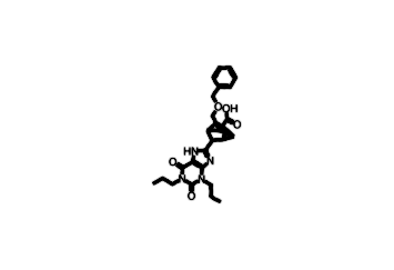 CCCn1c(=O)c2[nH]c(C3C4C5CC3C(COCc3ccccc3)(C(=O)O)C54)nc2n(CCC)c1=O